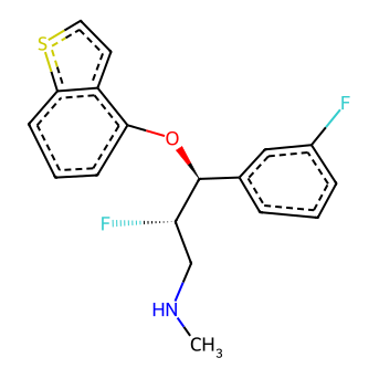 CNC[C@H](F)[C@@H](Oc1cccc2sccc12)c1cccc(F)c1